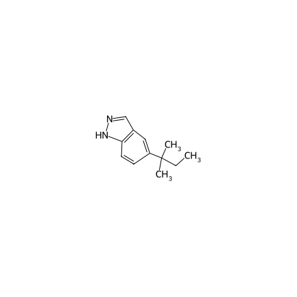 CCC(C)(C)c1ccc2[nH]ncc2c1